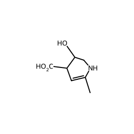 CC1=CC(C(=O)O)C(O)CN1